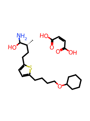 C[C@H](CCc1ccc(CCCCOC2CCCCC2)s1)C(N)O.O=C(O)/C=C\C(=O)O